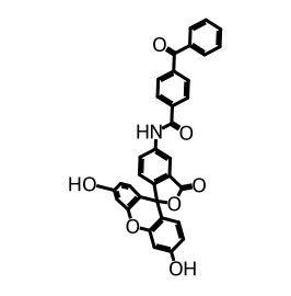 O=C(Nc1ccc2c(c1)C(=O)OC21c2ccc(O)cc2Oc2cc(O)ccc21)c1ccc(C(=O)c2ccccc2)cc1